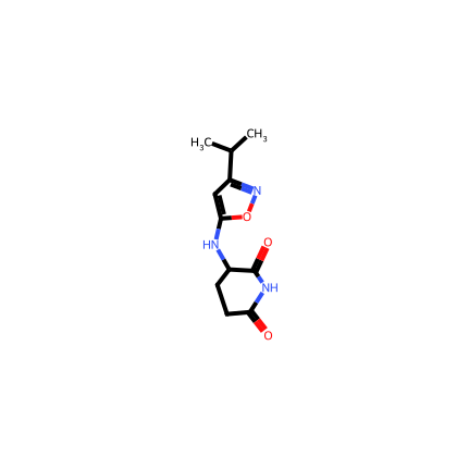 CC(C)c1cc(NC2CCC(=O)NC2=O)on1